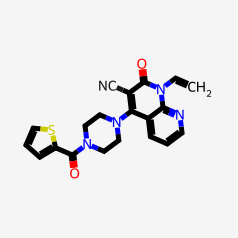 C=Cn1c(=O)c(C#N)c(N2CCN(C(=O)c3cccs3)CC2)c2cccnc21